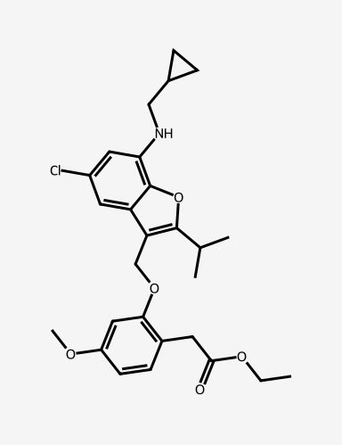 CCOC(=O)Cc1ccc(OC)cc1OCc1c(C(C)C)oc2c(NCC3CC3)cc(Cl)cc12